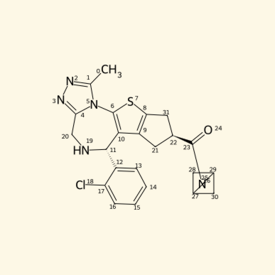 Cc1nnc2n1-c1sc3c(c1[C@H](c1ccccc1Cl)NC2)C[C@H](C(=O)N1CC2CC1C2)C3